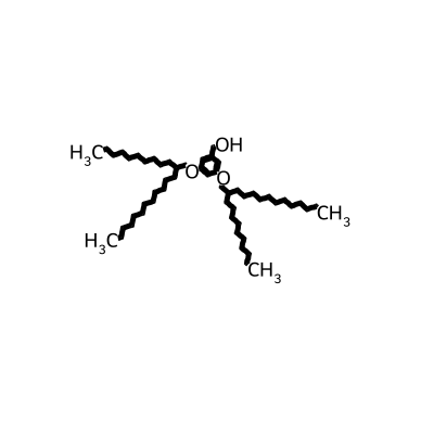 CCCCCCCCCCCCC(CCCCCCCCCC)COc1cc(CO)cc(OCC(CCCCCCCCCC)CCCCCCCCCCCC)c1